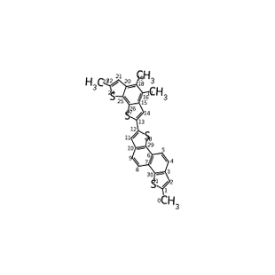 Cc1cc2ccc3c(ccc4cc(-c5cc6c(C)c(C)c7cc(C)sc7c6s5)sc43)c2s1